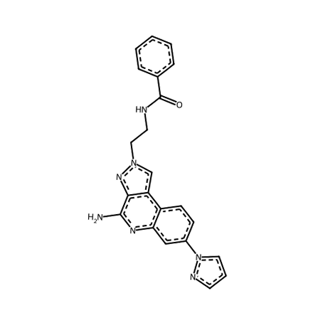 Nc1nc2cc(-n3cccn3)ccc2c2cn(CCNC(=O)c3ccccc3)nc12